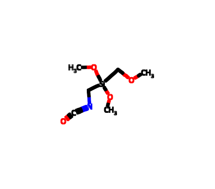 COC[Si](CN=C=O)(OC)OC